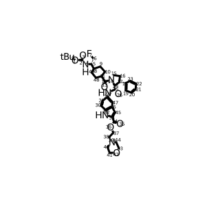 CC(C)(C)OC(=O)N[C@H](CF)C1CCC(C(=O)N2CC[C@H](c3ccccc3)[C@H]2C(=O)Nc2ccc3[nH]c(C(=O)OCCN4CCOCC4)cc3c2)CC1